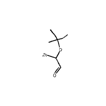 CC(C)(C)O[CH]([Zn])C=O